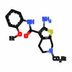 CCOC(=O)N1CCc2c(sc(N)c2C(=O)Nc2ccccc2OCC)C1